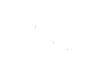 CCSN(C=O)CC